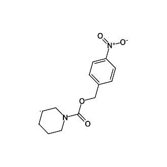 O=C(OCc1ccc([N+](=O)[O-])cc1)N1C[CH]CCC1